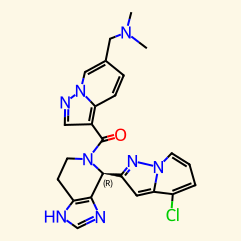 CN(C)Cc1ccc2c(C(=O)N3CCc4[nH]cnc4[C@@H]3c3cc4c(Cl)cccn4n3)cnn2c1